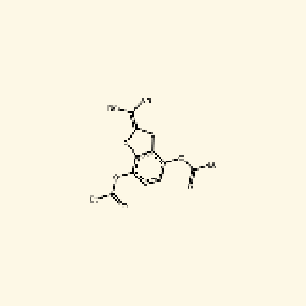 CCC(=O)Oc1ccc(OC(=O)CC)c2c1SC(=C(C#N)C#N)S2